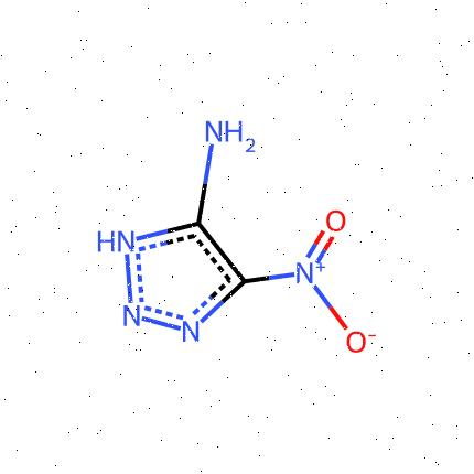 Nc1[nH]nnc1[N+](=O)[O-]